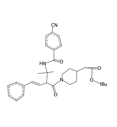 CC(C)(C)OC(=O)CC1CCN(C(=O)C(C=Cc2ccccc2)C(C)(C)NC(=O)c2ccc(C#N)cc2)CC1